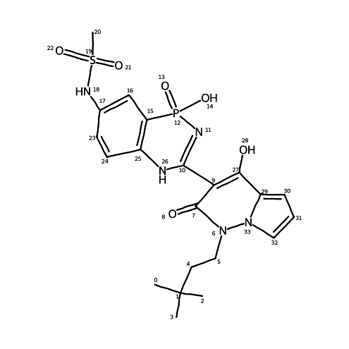 CC(C)(C)CCn1c(=O)c(C2=NP(=O)(O)c3cc(NS(C)(=O)=O)ccc3N2)c(O)c2cccn21